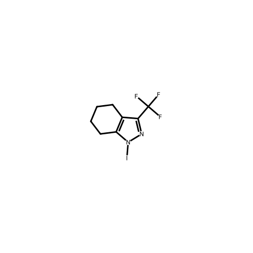 FC(F)(F)c1nn(I)c2c1CCCC2